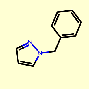 [CH](c1ccccc1)n1cccn1